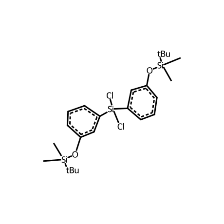 CC(C)(C)[Si](C)(C)Oc1cccc([Si](Cl)(Cl)c2cccc(O[Si](C)(C)C(C)(C)C)c2)c1